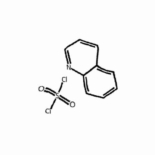 O=S(=O)(Cl)Cl.c1ccc2ncccc2c1